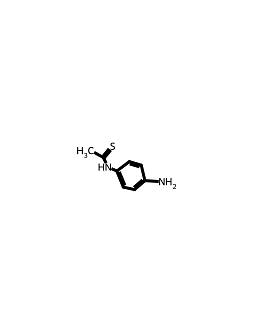 CC(=S)Nc1ccc(N)cc1